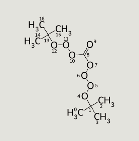 CC(C)(C)OOOOC(=O)OOOC(C)(C)C